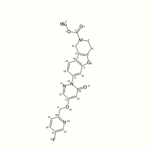 CC(C)(C)OC(=O)N1CCc2oc3cc(-n4ncc(OCc5ccc(F)cn5)cc4=O)ccc3c2C1